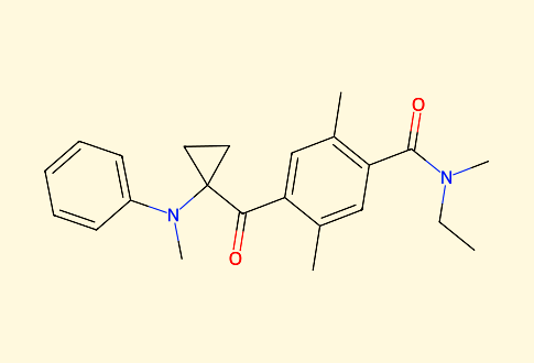 CCN(C)C(=O)c1cc(C)c(C(=O)C2(N(C)c3ccccc3)CC2)cc1C